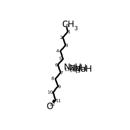 CCCCCCCCCCCC=O.[NaH].[NaH].[NaH]